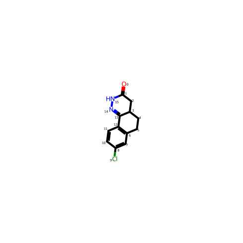 O=C1CC2CCc3cc(Cl)ccc3C2=NN1